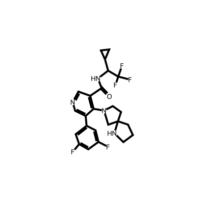 O=C(NC(C1CC1)C(F)(F)F)c1cncc(-c2cc(F)cc(F)c2)c1N1CCC2(CCCN2)C1